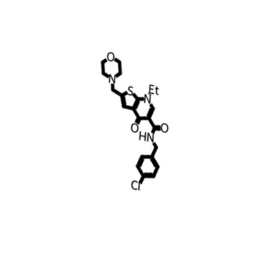 CCn1cc(C(=O)NCc2ccc(Cl)cc2)c(=O)c2cc(CN3CCOCC3)sc21